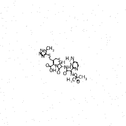 Cn1nnnc1SCC1=C(C(=O)O)N2C(=O)[C@@H](NC(=O)/C(=N/OP(C)(C)=O)c3nccc(N)n3)[C@H]2SC1